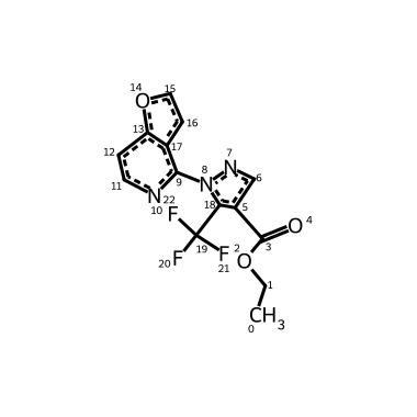 CCOC(=O)c1cnn(-c2nccc3occc23)c1C(F)(F)F